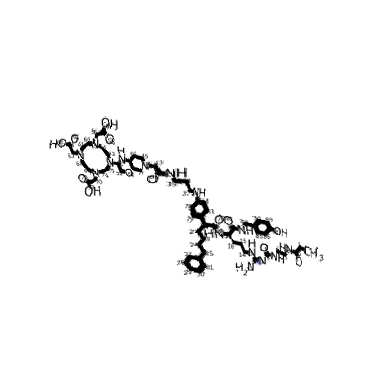 CCC(=O)NCCNC(=O)/N=C(/N)NCCC[C@@H](NC(=O)C(CCCCc1ccccc1)c1ccc(NCCCNC(=O)CN2CCC(NC(C=O)N3CCN(CC(=O)O)CCN(CC(=O)O)CCN(CC(=O)O)CC3)CC2)cc1)C(=O)NCc1ccc(O)cc1